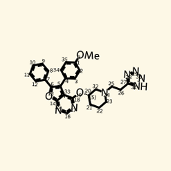 COc1ccc(-c2c(-c3ccccc3)oc3ncnc(O[C@H]4CCCN(CCc5nnn[nH]5)C4)c23)cc1